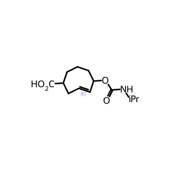 CC(C)NC(=O)OC1/C=C/CC(C(=O)O)CCC1